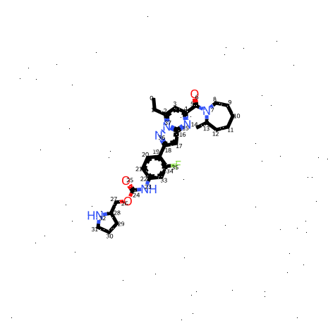 CCc1cc(C(=O)N2CCCCCC2C)nc2cc(-c3ccc(NC(=O)OCC4CCCN4)cc3F)nn12